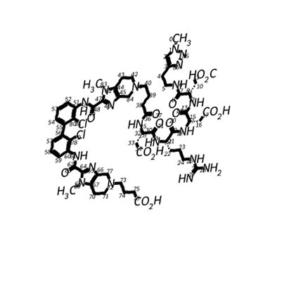 Cn1cc(CCNC(=O)[C@H](CC(=O)O)NC(=O)[C@H](CC(=O)O)NC(=O)[C@H](CCCNC(=N)N)NC(=O)[C@H](CC(=O)O)NC(=O)CCCN2CCc3c(nc(C(=O)Nc4cccc(-c5cccc(NC(=O)c6nc7c(n6C)CCN(CCCC(=O)O)C7)c5Cl)c4Cl)n3C)C2)nn1